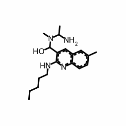 CCCCCNc1nc2ccc(C)cc2cc1C(O)N(C)C(C)N